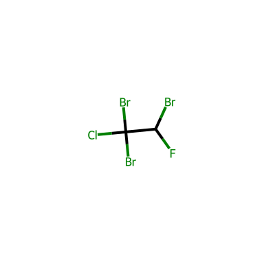 FC(Br)C(Cl)(Br)Br